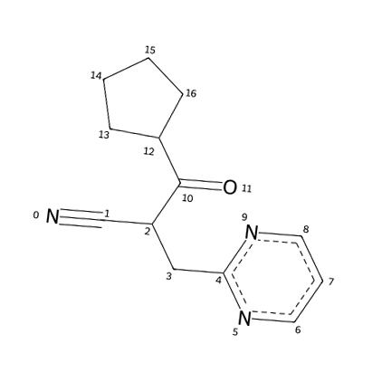 N#CC(Cc1ncccn1)C(=O)C1CCCC1